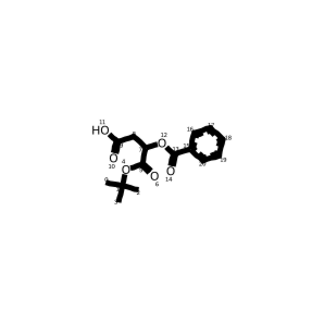 CC(C)(C)OC(=O)C(CC(=O)O)OC(=O)c1ccccc1